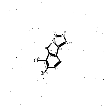 Clc1c(Br)ccc2c1Cn1nnnc1-2